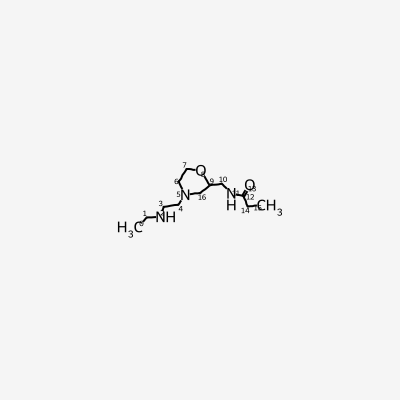 CCNCCN1CCOC(CNC(=O)CC)C1